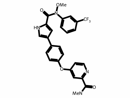 CNC(=O)c1cc(Oc2ccc(-c3c[nH]c(C(=O)N(OC)c4cccc(C(F)(F)F)c4)c3)cc2)ccn1